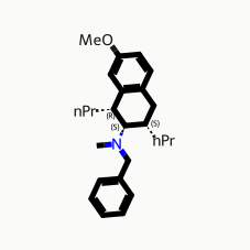 CCC[C@H]1Cc2ccc(OC)cc2[C@@H](CCC)[C@H]1N(C)Cc1ccccc1